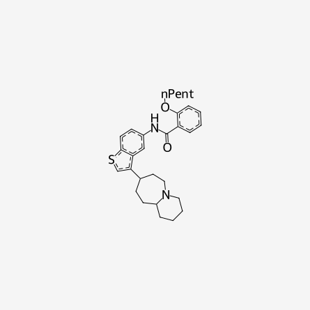 CCCCCOc1ccccc1C(=O)Nc1ccc2scc(C3CCC4CCCCN4CC3)c2c1